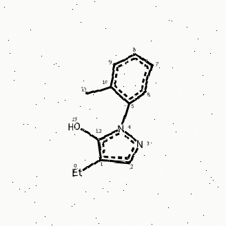 CCc1cnn(-c2ccccc2C)c1O